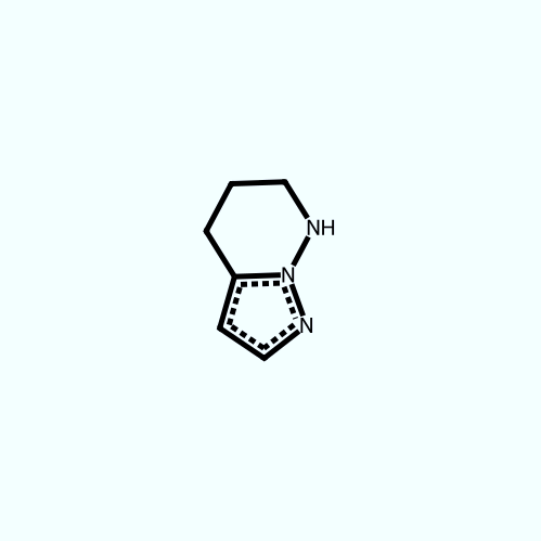 c1cc2n(n1)NCCC2